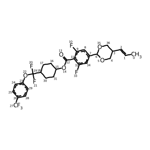 C/C=C/C1COC(c2cc(F)c(C(=O)OC3CCC(C(F)(F)Oc4ccc(C(F)(F)F)cc4)CC3)c(F)c2)OC1